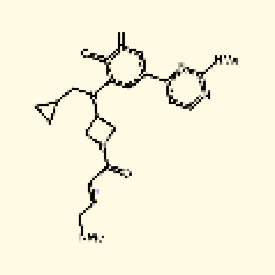 CNC/C=C/C(=O)N1CC(N(CC2CC2)c2cc(-c3ccnc(NC)n3)c[nH]c2=O)C1